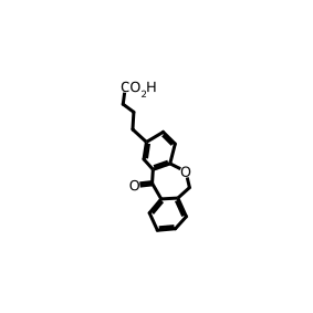 O=C(O)CCCc1ccc2c(c1)C(=O)c1ccccc1CO2